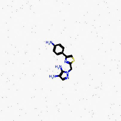 Nc1ccc(-c2csc(Cn3ncc(N)c3N)n2)cc1